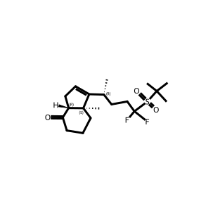 C[C@H](CCC(F)(F)S(=O)(=O)C(C)(C)C)C1=CC[C@H]2C(=O)CCC[C@]12C